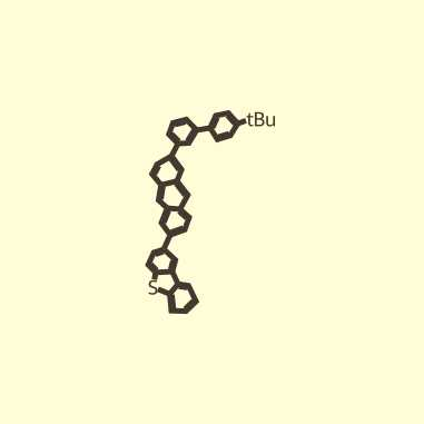 CC(C)(C)c1ccc(-c2cccc(-c3ccc4cc5cc(-c6ccc7sc8ccccc8c7c6)ccc5cc4c3)c2)cc1